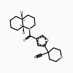 N#CC1(c2cc(C(=O)N3CCC[C@H]4CCCC[C@H]43)cs2)CCOCC1